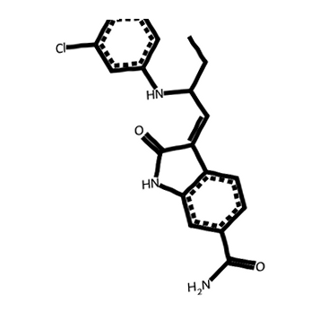 CCC(C=C1C(=O)Nc2cc(C(N)=O)ccc21)Nc1cccc(Cl)c1